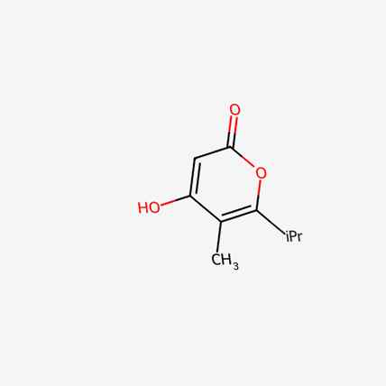 Cc1c(O)cc(=O)oc1C(C)C